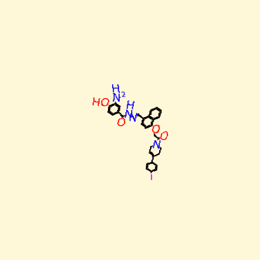 Nc1cc(C(=O)N/N=C/c2ccc(OCC(=O)N3CC=C(c4ccc(I)cc4)CC3)c3ccccc23)ccc1O